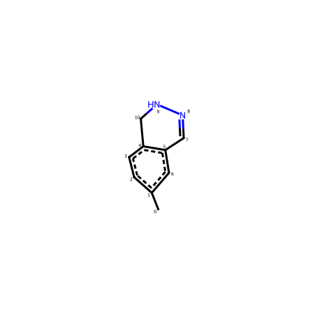 Cc1ccc2c(c1)C=NNC2